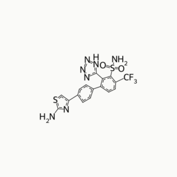 Nc1nc(-c2ccc(-c3ccc(C(F)(F)F)c(S(N)(=O)=O)c3-c3nnn[nH]3)cc2)cs1